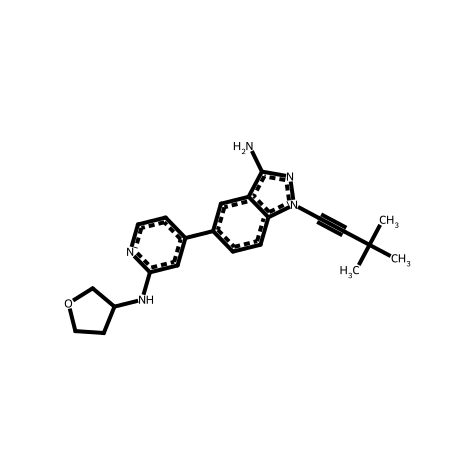 CC(C)(C)C#Cn1nc(N)c2cc(-c3ccnc(NC4CCOC4)c3)ccc21